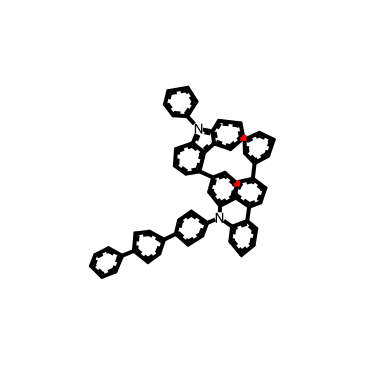 c1ccc(-c2ccc(-c3ccc(N(c4cccc(-c5cccc6c5c5ccccc5n6-c5ccccc5)c4)c4ccccc4-c4ccc(-c5ccccc5)cc4)cc3)cc2)cc1